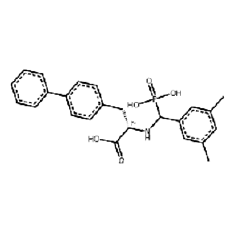 Cc1cc(C)cc(C(N[C@@H](Cc2ccc(-c3ccccc3)cc2)C(=O)O)P(=O)(O)O)c1